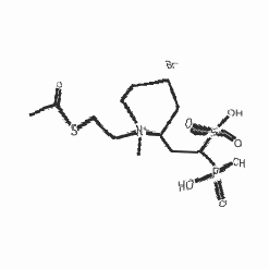 CC(=O)SCC[N+]1(C)CCCCC1CC(P(=O)(O)O)S(=O)(=O)O.[Br-]